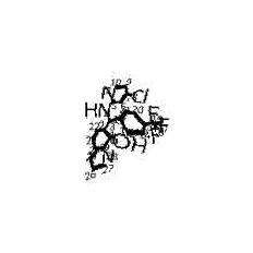 Oc1c(C(Nc2cc(Cl)ccn2)c2ccc(C(F)(F)F)cc2)ccc2cccnc12